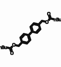 CCCCC(=O)OCc1ccc(-c2ccc(COC(=O)CCCC)cc2)cc1